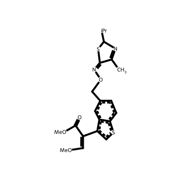 COC=C(C(=O)OC)c1csc2ccc(CON=C3SC(C(C)C)N=C3C)cc12